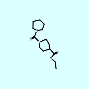 CCOC(=O)C1CCN(C(=O)N2C[CH]CCC2)CC1